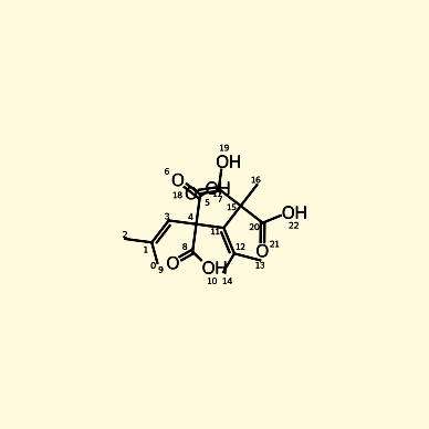 CC(C)=CC(C(=O)O)(C(=O)O)C(=C(C)C)C(C)(C(=O)O)C(=O)O